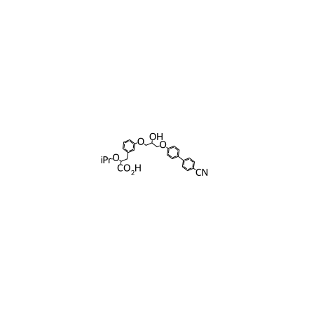 CC(C)OC(Cc1cccc(OCC(O)COc2ccc(-c3ccc(C#N)cc3)cc2)c1)C(=O)O